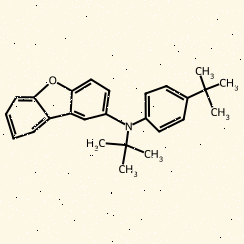 CC(C)(C)c1ccc(N(c2ccc3oc4ccccc4c3c2)C(C)(C)C)cc1